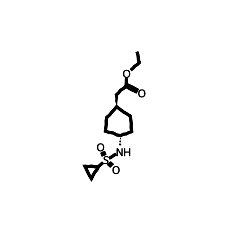 CCOC(=O)C[C@H]1CC[C@H](NS(=O)(=O)C2CC2)CC1